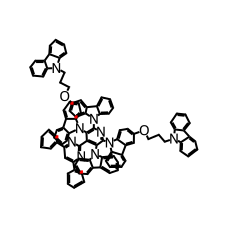 c1ccc(-c2cc(-c3ccccc3)nc(-c3c(-n4c5ccccc5c5ccccc54)c(-n4c5ccccc5c5cc(OCCCn6c7ccccc7c7ccccc76)ccc54)nc(-n4c5ccccc5c5cc(OCCCn6c7ccccc7c7ccccc76)ccc54)c3-n3c4ccccc4c4ccccc43)n2)cc1